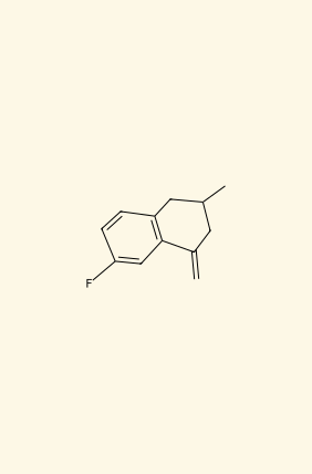 C=C1CC(C)Cc2ccc(F)cc21